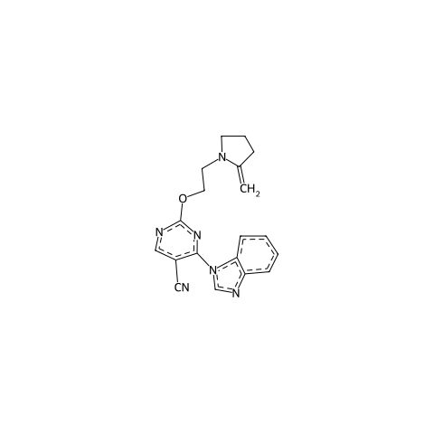 C=C1CCCN1CCOc1ncc(C#N)c(-n2cnc3ccccc32)n1